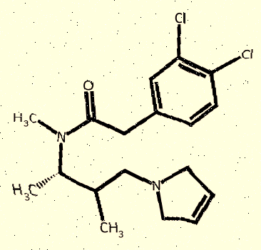 CC(CN1CC=CC1)[C@H](C)N(C)C(=O)Cc1ccc(Cl)c(Cl)c1